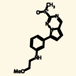 COCCNc1cccc(-c2ccc3cnc([S+](C)[O-])nn23)c1